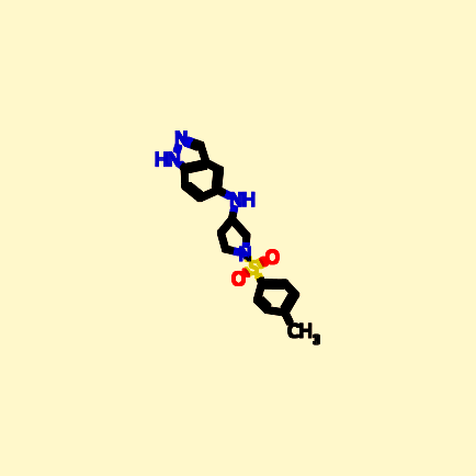 Cc1ccc(S(=O)(=O)N2CCC(Nc3ccc4[nH]ncc4c3)C2)cc1